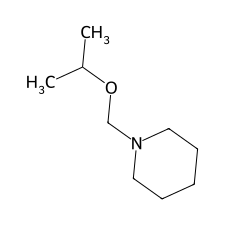 CC(C)OCN1CCCCC1